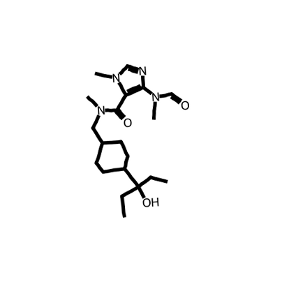 CCC(O)(CC)C1CCC(CN(C)C(=O)c2c(N(C)C=O)ncn2C)CC1